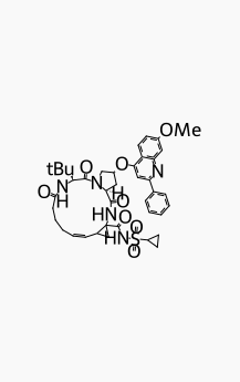 COc1ccc2c(O[C@@H]3C[C@H]4C(=O)NC5(C(=O)NS(=O)(=O)C6CC6)CC5/C=C\CCCC(=O)N[C@@H](C(C)(C)C)C(=O)N4C3)cc(-c3ccccc3)nc2c1